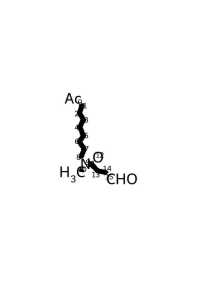 CC(=O)CCCCCCCCN(C)C(=O)CCC=O